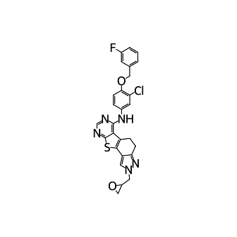 Fc1cccc(COc2ccc(Nc3ncnc4sc5c(c34)CCc3nn(CC4CO4)cc3-5)cc2Cl)c1